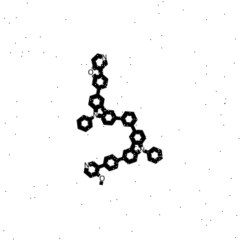 COc1ccncc1-c1ccc(-c2ccc3c(c2)c2cc(-c4cccc(-c5ccc6c(c5)c5cc(-c7ccc8c(c7)oc7ccncc78)ccc5n6-c5ccccc5)c4)ccc2n3-c2ccccc2)cc1